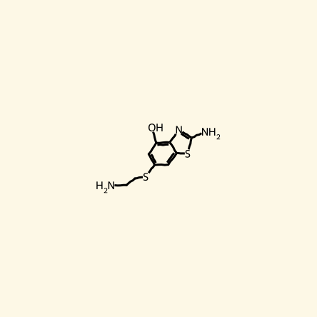 NCCSc1cc(O)c2nc(N)sc2c1